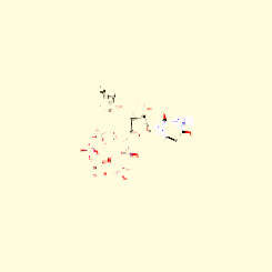 O=c1ccn([C@@H]2O[C@H](COP(=O)(O)OP(=O)([O-])OP(=O)([O-])OP(=O)([O-])OP(=O)([O-])O)[C@@H](O)[C@H]2O)c(=O)[nH]1.[Na+].[Na+].[Na+].[Na+]